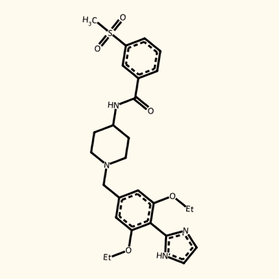 CCOc1cc(CN2CCC(NC(=O)c3cccc(S(C)(=O)=O)c3)CC2)cc(OCC)c1-c1ncc[nH]1